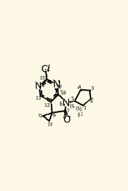 C[C@H]1CCC[C@@H]1N1C(=O)C2(CC2)c2cnc(Cl)nc21